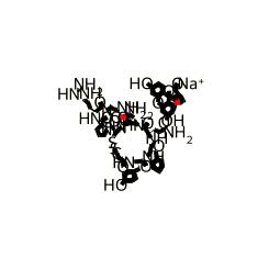 N=C(N)NCCC[C@H](NC(=O)[C@@H]1CCCN1C(=O)[C@@H]1CSSCCC(=O)N[C@@H](Cc2ccc(O)cc2)C(=O)N[C@@H](Cc2ccccc2)C(=O)N[C@@H](CCC(N)=O)C(=O)N[C@@H](CC(N)=O)C(=O)N1)C(=O)NCC(N)=O.O=C1OC2(c3ccc(O)cc3Oc3cc(O)ccc32)c2ccccc21.[Na+]